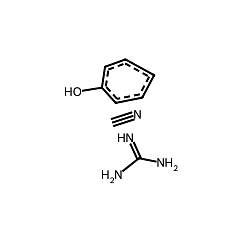 C#N.N=C(N)N.Oc1ccccc1